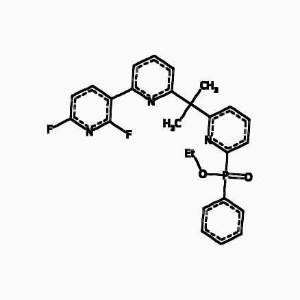 CCOP(=O)(c1ccccc1)c1cccc(C(C)(C)c2cccc(-c3ccc(F)nc3F)n2)n1